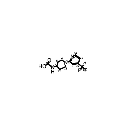 O=C(O)NC1CCN(c2cc(C(F)(F)F)ccn2)CC1